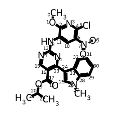 COc1nc(Cl)c([N+](=O)[O-])cc1Nc1ncc(C(=O)OC(C)C)c(-c2cn(C)c3ccccc23)n1